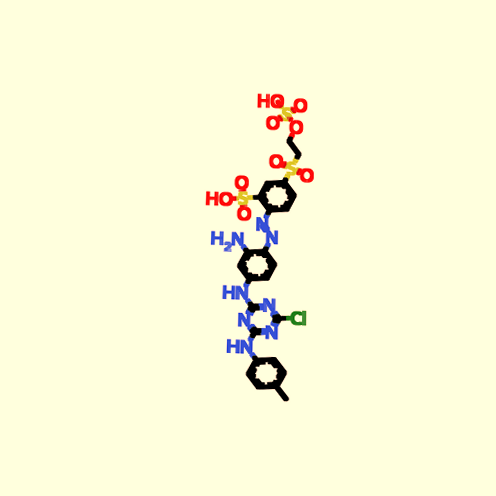 Cc1ccc(Nc2nc(Cl)nc(Nc3ccc(/N=N/c4ccc(S(=O)(=O)CCOS(=O)(=O)O)cc4S(=O)(=O)O)c(N)c3)n2)cc1